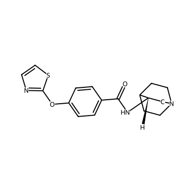 O=C(N[C@H]1CN2CCC1CC2)c1ccc(Oc2nccs2)cc1